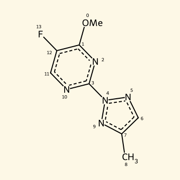 COc1nc(-n2ncc(C)n2)ncc1F